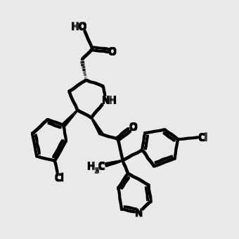 C[C@](C(=O)C[C@@H]1NC[C@@H](CC(=O)O)C[C@@H]1c1cccc(Cl)c1)(c1ccncc1)c1ccc(Cl)cc1